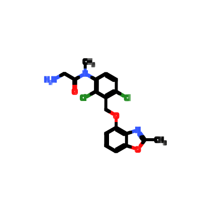 Cc1nc2c(OCc3c(Cl)ccc(N(C)C(=O)CN)c3Cl)cccc2o1